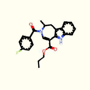 CCCOC(=O)C1=CN(C(=O)c2ccc(F)cc2)C(C)Cc2c1[nH]c1ccccc21